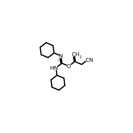 C=C(CC#N)O/C(=N/C1CCCCC1)NC1CCCCC1